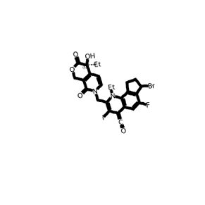 CCN1C(Cn2ccc3c(c2=O)COC(=O)[C@]3(O)CC)=C(I)C(=C=O)c2cc(F)c3c(c21)CCC3Br